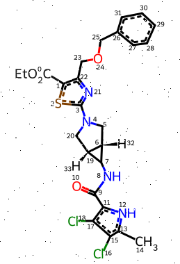 CCOC(=O)c1sc(N2C[C@@H]3C(NC(=O)c4[nH]c(C)c(Cl)c4Cl)[C@@H]3C2)nc1COCc1ccccc1